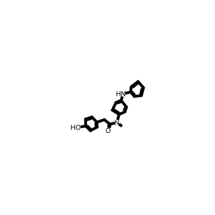 CN(C(=O)Cc1ccc(O)cc1)c1ccc(Nc2ccccc2)cc1